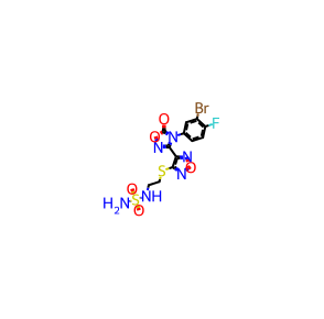 NS(=O)(=O)NCCSc1nonc1-c1noc(=O)n1-c1ccc(F)c(Br)c1